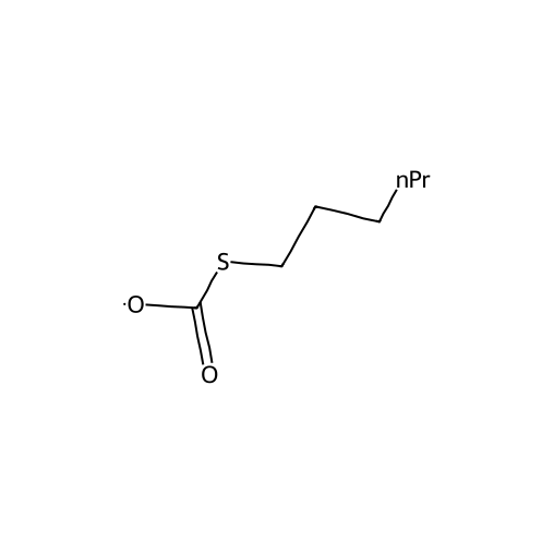 CCCCCCSC([O])=O